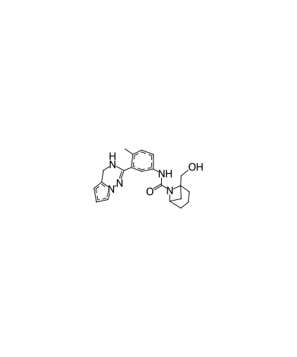 Cc1ccc(NC(=O)N2C3CCCC2(CO)C3)cc1C1=Nn2cccc2CN1